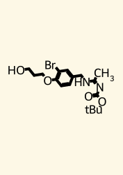 C/C(=N/C(=O)OC(C)(C)C)NCc1ccc(OCCCO)c(Br)c1